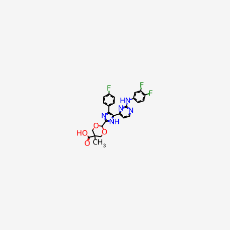 CC1(C(=O)O)COC(c2nc(-c3ccc(F)cc3)c(-c3ccnc(Nc4ccc(F)c(F)c4)n3)[nH]2)OC1